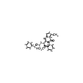 Cc1ccn2nc(C(CCOCc3ccccc3)NC(=O)O)n(-c3ccccc3)c(=O)c12